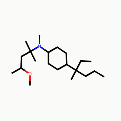 CCCC(C)(CC)C1CCC(N(C)C(C)(C)CC(C)OC)CC1